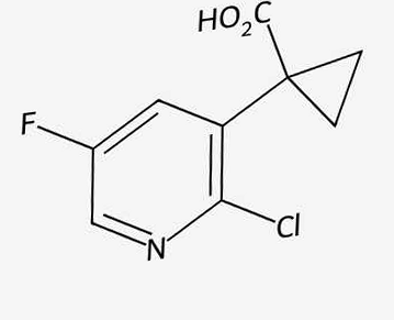 O=C(O)C1(c2cc(F)cnc2Cl)CC1